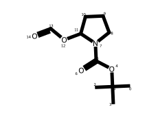 CC(C)(C)OC(=O)N1CCCC1OC=O